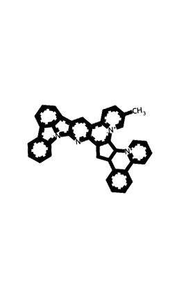 Cc1ccc2c3cc4c5cccc6c7ccccc7n(c4nc3c3c([n+]2c1)C1C(C3)c2ccccc2-c2cccc[n+]21)c65